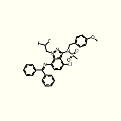 COc1ccc(CN(c2nn(CC(F)F)c3c(N=C(c4ccccc4)c4ccccc4)ccc(Cl)c23)S(C)(=O)=O)cc1